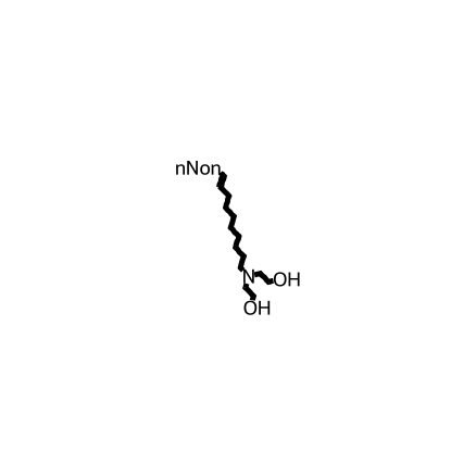 CCCCCCCCCC=CCCCCCCCCN(CCO)CCO